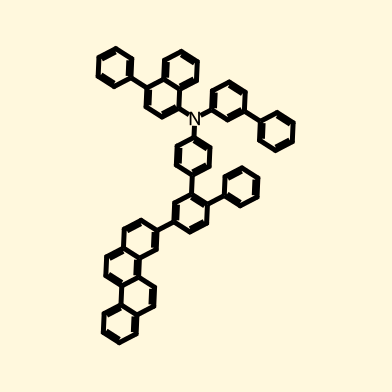 c1ccc(-c2cccc(N(c3ccc(-c4cc(-c5ccc6ccc7c8ccccc8ccc7c6c5)ccc4-c4ccccc4)cc3)c3ccc(-c4ccccc4)c4ccccc34)c2)cc1